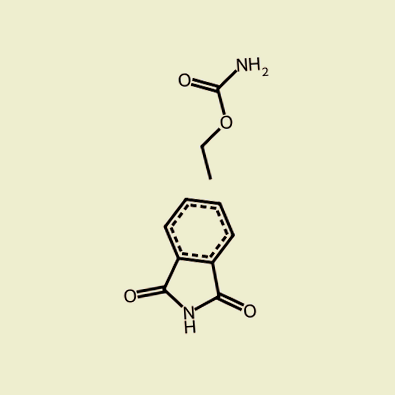 CCOC(N)=O.O=C1NC(=O)c2ccccc21